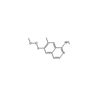 COOSc1cc2ccnc(N)c2cc1C